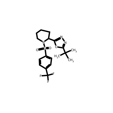 CC(C)(C)c1nnc(C2CCCCN2S(=O)(=O)c2ccc(C(F)(F)F)cc2)o1